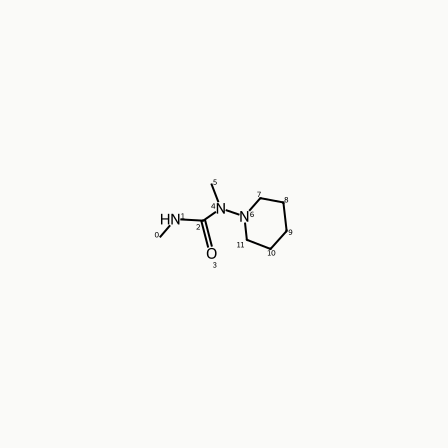 CNC(=O)N(C)N1CCCCC1